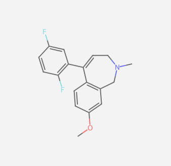 COc1ccc2c(c1)CN(C)CC=C2c1cc(F)ccc1F